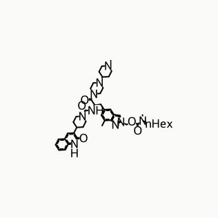 CCCCCCN(C)C(=O)OCn1cc2cc(C[C@@H](NC(=O)N3CCC(c4cc5ccccc5[nH]c4=O)CC3)C(=O)N3CCN(C4CCN(C)CC4)CC3)cc(C)c2n1